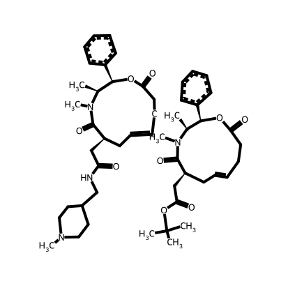 C[C@H]1[C@@H](c2ccccc2)OC(=O)CC/C=C/C[C@@H](CC(=O)NCC2CCN(C)CC2)C(=O)N1C.C[C@H]1[C@@H](c2ccccc2)OC(=O)CC/C=C/C[C@@H](CC(=O)OC(C)(C)C)C(=O)N1C